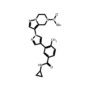 Cc1ccc(C(=O)NC2CC2)cc1-c1cnn(-c2cnn3c2CN([S+]([O-])C(C)(C)C)CC3)c1